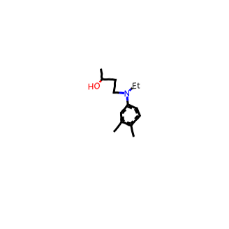 CCN(CCC(C)O)c1ccc(C)c(C)c1